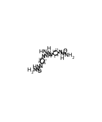 N=C(NN=C1C=CC(=NNC(N)=O)C=C1)NN=C1C=CC(=NNC(N)=O)C=C1